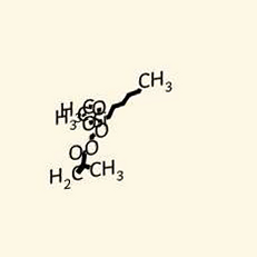 C=C(C)C(=O)OCO[Si](CCCCCC)(OC)OC